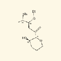 C=C(C[C@H](OCC)[C@@H](C)CCCC)[C@@H]1OCCC[C@H]1O